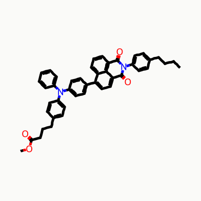 CCCCc1ccc(N2C(=O)c3cccc4c(-c5ccc(N(c6ccccc6)c6ccc(CCCC(=O)OC)cc6)cc5)ccc(c34)C2=O)cc1